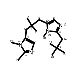 Cc1ncc(CC(C)(C)Cc2cnc(CC(C)(C)C)n2C)n1C